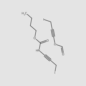 CCCCOC(=O)NC#CCI.O=COC#CCI